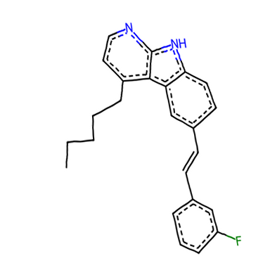 CCCCCc1ccnc2[nH]c3ccc(C=Cc4cccc(F)c4)cc3c12